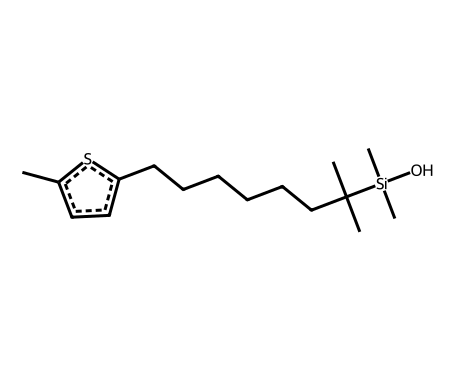 Cc1ccc(CCCCCCC(C)(C)[Si](C)(C)O)s1